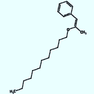 CCCCCCCCCCCCOC(C)=Cc1ccccc1